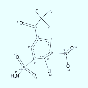 CC(C)(C)C(=O)c1cc([N+](=O)[O-])c(Cl)c(S(N)(=O)=O)c1